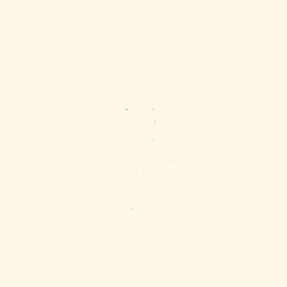 C[C@]12CC[C@@H]3c4cc(C#Cc5ccccc5)c(O)cc4CC[C@H]3[C@@H]1C[C@@H](F)C2=O